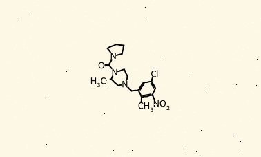 Cc1c(CN2CCN(C(=O)N3CCCC3)[C@@H](C)C2)cc(Cl)cc1[N+](=O)[O-]